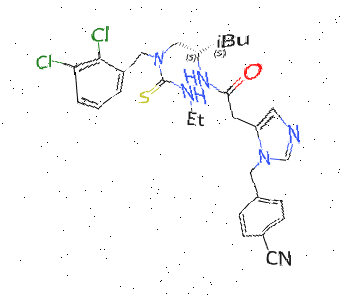 CCNC(=S)N(Cc1cccc(Cl)c1Cl)C[C@@H](NC(=O)Cc1cncn1Cc1ccc(C#N)cc1)[C@@H](C)CC